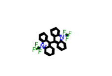 FC(F)(F)[n+]1c2ccccc2c(-c2c3ccccc3[n+](C(F)(F)F)c3ccccc23)c2ccccc21